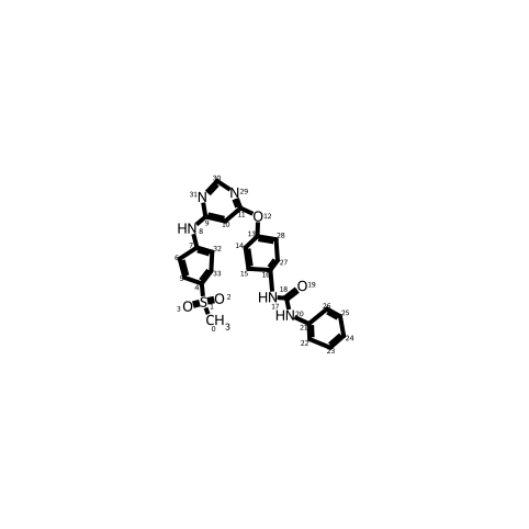 CS(=O)(=O)c1ccc(Nc2cc(Oc3ccc(NC(=O)Nc4ccccc4)cc3)ncn2)cc1